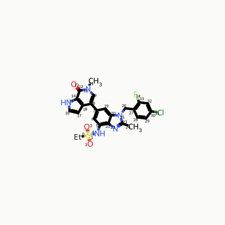 CCS(=O)(=O)Nc1cc(-c2cn(C)c(=O)c3[nH]ccc23)cc2c1nc(C)n2Cc1ccc(Cl)cc1F